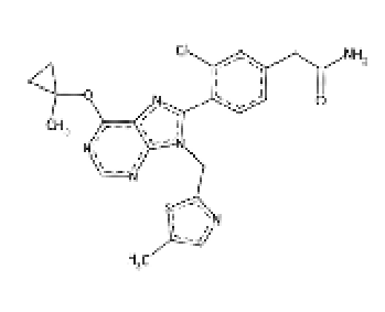 Cc1cnc(Cn2c(-c3ccc(CC(N)=O)cc3Cl)nc3c(OC4(C)CC4)ncnc32)s1